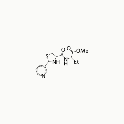 CCC(NC(=O)C1CSC(c2cccnc2)N1)C(=O)OC